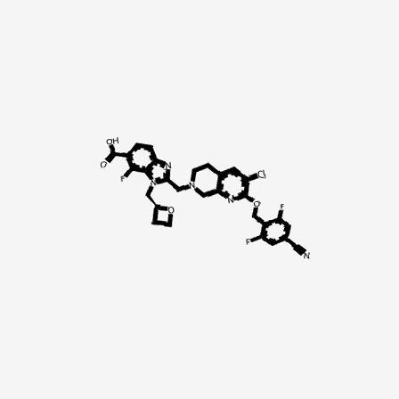 N#Cc1cc(F)c(COc2nc3c(cc2Cl)CCN(Cc2nc4ccc(C(=O)O)c(F)c4n2C[C@@H]2CCO2)C3)c(F)c1